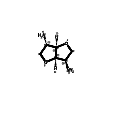 N[C@@H]1CO[C@H]2[C@@H]1OC[C@@H]2N